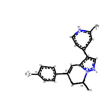 CC(C)c1cc(-c2cnn3c2C=C(c2ccc(C(F)(F)F)cc2)CC3C)ccn1